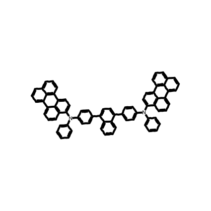 c1ccc(N(c2ccc(-c3ccc(-c4ccc(N(c5ccccc5)c5ccc6c7cccc8cccc(c9cccc5c96)c87)cc4)c4ccccc34)cc2)c2ccc3c4cccc5cccc(c6cccc2c63)c54)cc1